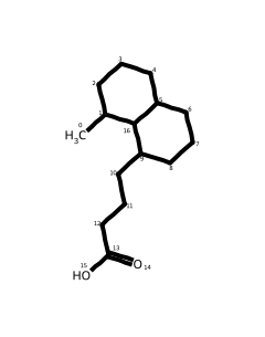 CC1CCCC2CCCC(CCCC(=O)O)C12